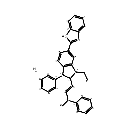 CCN1c2cc(-c3nc4ccccc4s3)ccc2N(c2ccccc2)C1C=CN(C)c1ccccc1.I